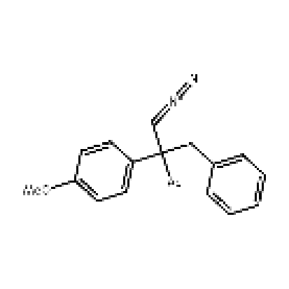 COc1ccc(C(C=[N+]=[N-])(Cc2ccccc2)C(C)=O)cc1